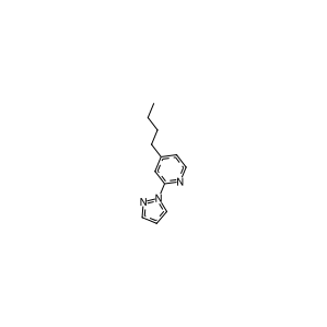 CCCCc1ccnc(-n2cccn2)c1